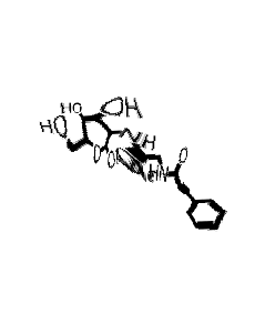 COC1OC(CO)C(O)C(O)C1NC(=O)CNC(=O)C#Cc1ccccc1